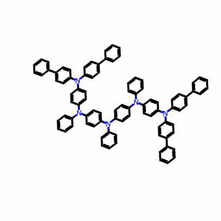 c1ccc(-c2ccc(N(c3ccc(-c4ccccc4)cc3)c3ccc(N(c4ccccc4)c4ccc(N(c5ccccc5)c5ccc(N(c6ccccc6)c6ccc(N(c7ccc(-c8ccccc8)cc7)c7ccc(-c8ccccc8)cc7)cc6)cc5)cc4)cc3)cc2)cc1